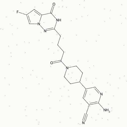 N#Cc1cc(C2CCN(C(=O)CCCc3nn4cc(F)cc4c(=O)[nH]3)CC2)cnc1N